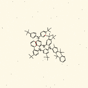 Cc1cc2c(cc1N1c3cc4c(cc3B3c5cc(N(c6ccc(C(C)(C)C)cc6)c6ccc(C(C)(C)C)cc6)ccc5N(c5ccc(C(C)(C)C)cc5-c5ccccc5)c5cc(C(C)(C)C)cc1c53)C(C)(C)CC4(C)C)C(C)(C)c1ccccc1C2(C)C